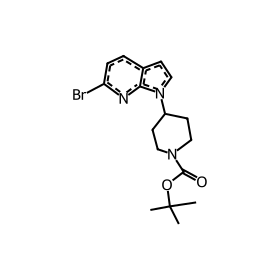 CC(C)(C)OC(=O)N1CCC(n2ccc3ccc(Br)nc32)CC1